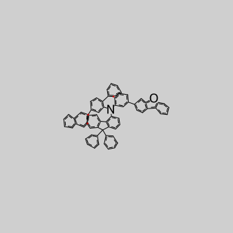 c1ccc(-c2ccc(-c3ccc4ccccc4c3)cc2N(c2cccc(-c3ccc4c(c3)oc3ccccc34)c2)c2cccc3c2-c2ccccc2C3(c2ccccc2)c2ccccc2)cc1